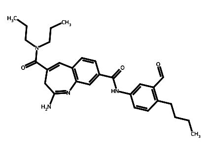 CCCCc1ccc(NC(=O)c2ccc3c(c2)N=C(N)CC(C(=O)N(CCC)CCC)=C3)cc1C=O